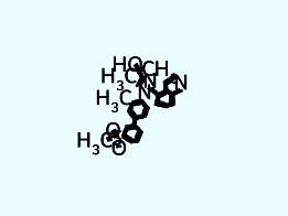 Cc1cc(-c2cccc(S(C)(=O)=O)c2)ccc1-n1cc(C(C)(C)O)nc1-c1cccc2cnccc12